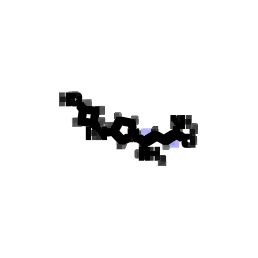 N/C(Cl)=C\C=C(/N)N1CCC(NC2CC(O)C2)C1